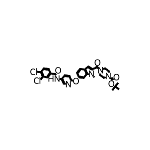 Cn1c(C(=O)N2CCN(C(=O)OC(C)(C)C)CC2)cc2ccc(Oc3ccc(NC(=O)c4ccc(Cl)c(Cl)c4)cn3)cc21